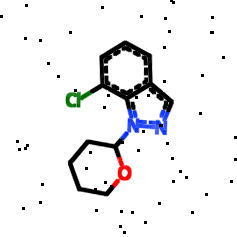 Clc1cccc2cnn(C3CCCCO3)c12